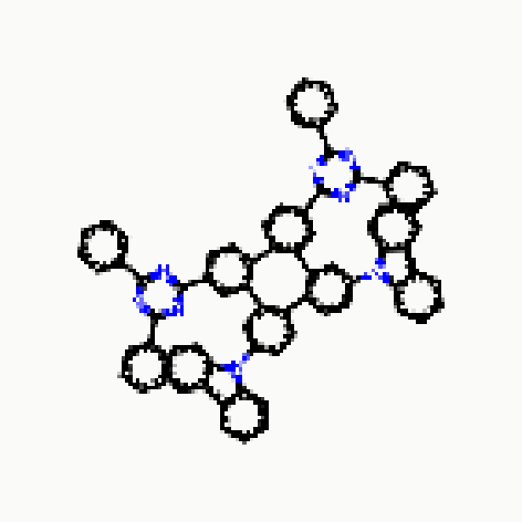 c1ccc(-c2nc(-c3ccccc3)nc(-c3ccc4c(c3)-c3cc(-n5c6ccccc6c6ccccc65)ccc3-c3ccc(-n5c6ccccc6c6ccccc65)cc3-c3cc(-c5nc(-c6ccccc6)nc(-c6ccccc6)n5)ccc3-4)n2)cc1